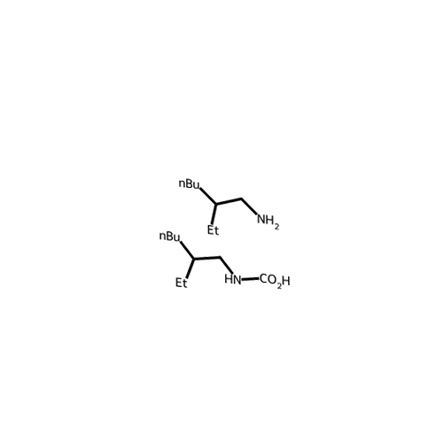 CCCCC(CC)CN.CCCCC(CC)CNC(=O)O